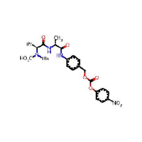 CC(C)[C@@H](C(=O)N[C@@H](C)C(=O)Nc1ccc(COC(=O)Oc2ccc([N+](=O)[O-])cc2)cc1)N(C(=O)O)C(C)(C)C